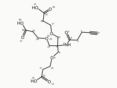 C#CCCC(=O)NC(COCCC(=O)O)(COCCC(=O)O)COCCC(=O)O